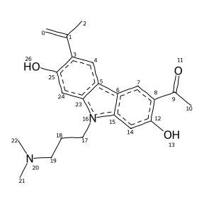 C=C(C)c1cc2c3cc(C(C)=O)c(O)cc3n(CCCN(C)C)c2cc1O